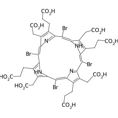 O=C(O)CCC1=C(CC(=O)O)c2nc1c(Br)c1[nH]c(c(Br)c3nc(c(Br)c4[nH]c(c2Br)c(CCC(=O)O)c4CC(=O)O)C(CCC(=O)O)=C3CC(=O)O)c(CCC(=O)O)c1CC(=O)O